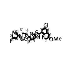 COc1cnc2c(-c3nc4cc(F)c(O[C@@H](C)[C@@H](C)N(C(=O)O)c5cncc(F)c5)nc4s3)cc(Cl)cc2c1